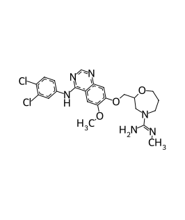 C/N=C(\N)N1CCCOC(COc2cc3ncnc(Nc4ccc(Cl)c(Cl)c4)c3cc2OC)C1